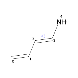 C=C/C=C/[NH]